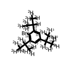 [2H]C([2H])([2H])C([2H])(c1cc(C([2H])(C([2H])([2H])[2H])C([2H])([2H])[2H])c(Br)c(C([2H])(C([2H])([2H])[2H])C([2H])([2H])[2H])c1)C([2H])([2H])[2H]